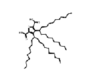 CCCCCCCCCCC(CCCCCCCCC)c1c(C(=O)O)oc(C(=O)O)c1C(CCCCCCCCC)CCCCCCCCCC